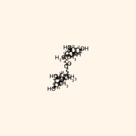 C[C@H](CCCOC(=O)CC[C@@H](C)[C@H]1CCC2[C@@H]3[C@@H](O)CC4C[C@H](O)CC[C@@]45N[C@]35CC[C@@]21C)[C@H]1CCC2[C@@H]3[C@@H](O)CC4C[C@H](O)CC[C@]4(C)[C@H]3CC[C@@]21C